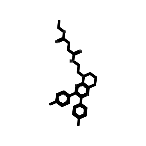 CCOC(=O)CCC(=O)NCCN1CCCc2nc(-c3ccc(C)cc3)c(-c3ccc(C)cc3)nc21